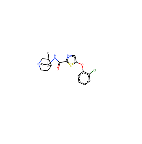 O=C(N[C@H]1CN2CCC1CC2)c1ncc(Oc2ccccc2Cl)s1